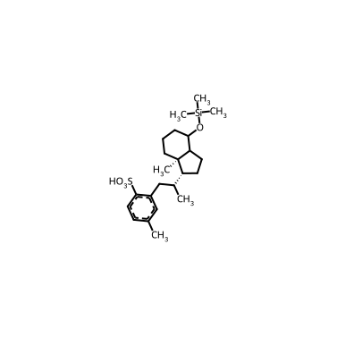 Cc1ccc(S(=O)(=O)O)c(CC(C)[C@H]2CCC3C(O[Si](C)(C)C)CCC[C@@]32C)c1